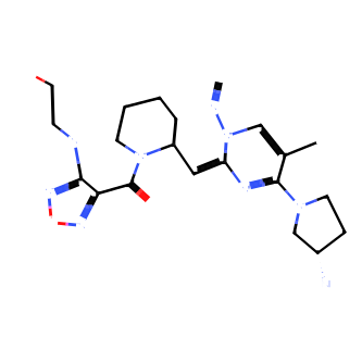 C=NN1C=C(C)C(N2CC[C@H](N)C2)=N/C1=C/C1CCCCN1C(=O)c1nonc1NCCO